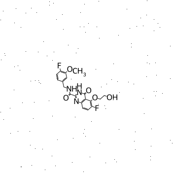 COc1cc(CNC(=O)c2nc3ccc(F)c(OCCO)c3c(=O)[nH]2)ccc1F